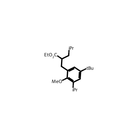 CCOC(=O)C(Cc1cc(C(C)(C)C)cc(C(C)C)c1OC)CC(C)C